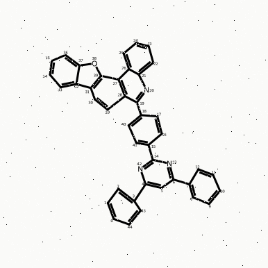 c1ccc(-c2cc(-c3ccccc3)nc(-c3ccc(-c4nc5ccccc5c5c4ccc4c6ccccc6oc45)cc3)n2)cc1